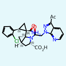 CC(=O)c1nn(CC(=O)N2[C@H](C(=O)O)C[C@H]3C[C@@]32[C@@]2(C(N)=O)C[C@@H]2c2ccccc2Cl)c2ncccc12